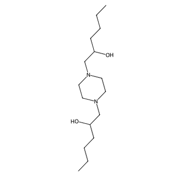 CCCCC(O)CN1CCN(CC(O)CCCC)CC1